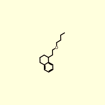 CCCCOCCC1CCCc2ccccc21